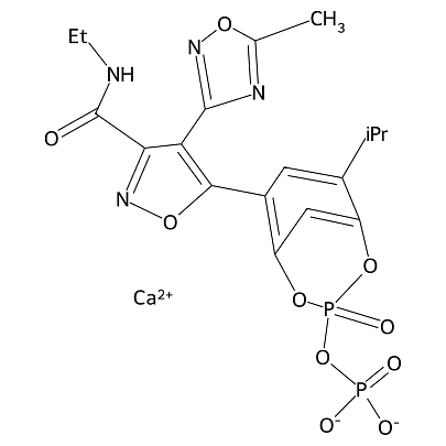 CCNC(=O)c1noc(-c2cc(C(C)C)c3cc2OP(=O)(OP(=O)([O-])[O-])O3)c1-c1noc(C)n1.[Ca+2]